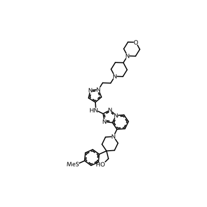 CSc1ccc(C2(CO)CCN(c3cccn4nc(Nc5cnn(CCN6CCC(N7CCOCC7)CC6)c5)nc34)CC2)cc1